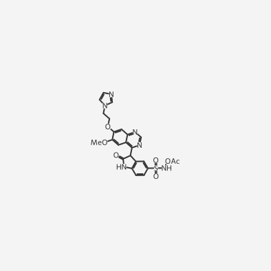 COc1cc2c(C3C(=O)Nc4ccc(S(=O)(=O)NOC(C)=O)cc43)ncnc2cc1OCCn1ccnc1